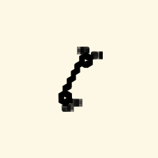 Oc1ccc(/C=C/CCC/C=C/c2ccc(O)c(O)c2)cc1O